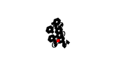 CCN(CC)c1ccc2c(c1)Oc1cc(OC)c(N(c3ccccc3C)c3ccccc3C)cc1C2c1ccccc1C(=O)OC